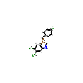 Clc1ccc(C[SH]2C=Nc3cc(Br)c(Br)cc32)cc1